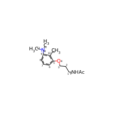 CC(=O)NCCCOc1cccc(N(C)C)c1C